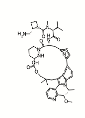 CCn1c(-c2cccnc2[C@H](C)OC)c2c3cc(ccc31)-c1csc(n1)C[C@H](NC(=O)[C@H](C(C)C)N(C)C(=O)N1CC[C@H]1CN)C(=O)N1CCC[C@@](O)(N1)C(=O)OCC(C)(C)C2